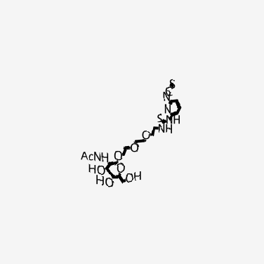 CC(=O)NC1[C@H](OCCOCCOCCNC(=S)Nc2cccc(N=C=S)n2)OC(CO)[C@H](O)[C@@H]1O